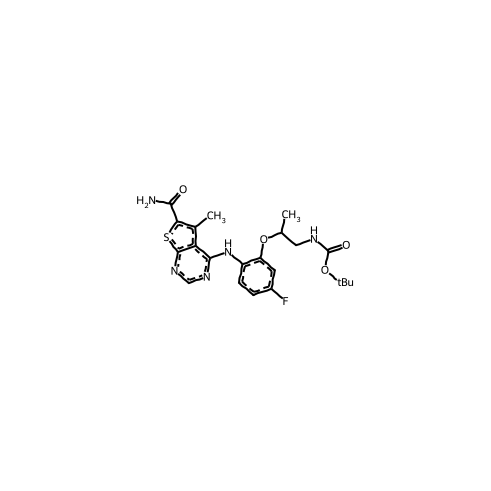 Cc1c(C(N)=O)sc2ncnc(Nc3ccc(F)cc3OC(C)CNC(=O)OC(C)(C)C)c12